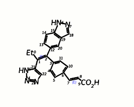 CC/C(=C(/c1ccc(/C=C/C(=O)O)cc1)c1ccc2[nH]ncc2c1)c1cnn[nH]1